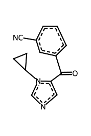 N#Cc1cccc(C(=O)c2cncn2C2CC2)c1